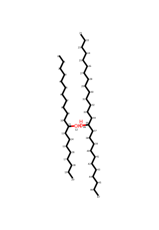 CCCCCCCCCCCC(O)CCCCCCCC.CCCCCCCCCCCCCCC(O)CCCCCCCCCCC